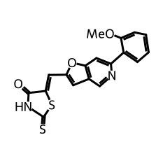 COc1ccccc1-c1cc2oc(/C=C3\SC(=S)NC3=O)cc2cn1